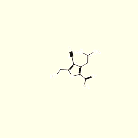 CCc1sc(C(N)=O)c(CC(C)C)c1C#N